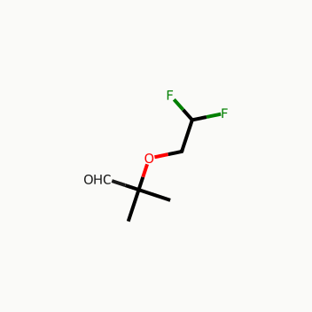 CC(C)(C=O)OCC(F)F